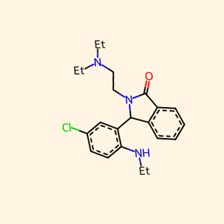 CCNc1ccc(Cl)cc1C1c2ccccc2C(=O)N1CCN(CC)CC